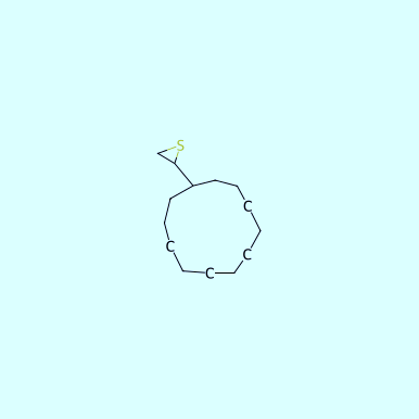 C1CCCCCC(C2CS2)CCCCC1